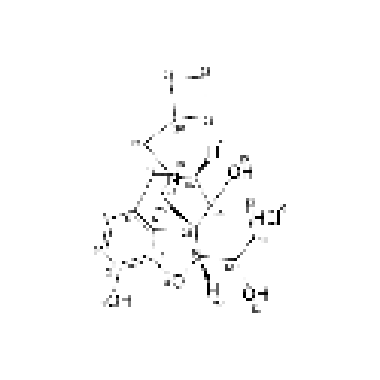 Cl.Oc1ccc2c3c1O[C@H]1[C@@H](O)CCC4(O)[C@@H](C2)N(CC2CCC2)CC[C@]314